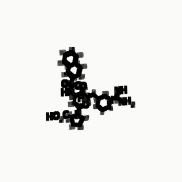 N=C(N)N1CCC[C@@H](CNC(=O)[C@@H](CC(=O)N2CCC[C@H]2C(=O)O)NS(=O)(=O)c2ccc3ccccc3c2)C1